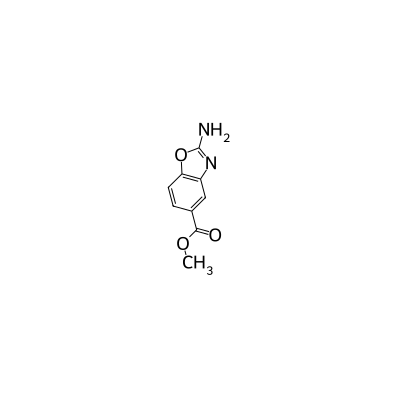 COC(=O)c1ccc2oc(N)nc2c1